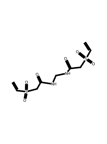 C=CS(=O)(=O)CC(=O)NCNC(=O)CS(=O)(=O)C=C